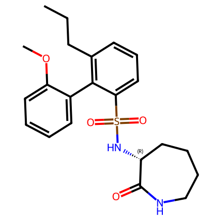 CCCc1cccc(S(=O)(=O)N[C@@H]2CCCCNC2=O)c1-c1ccccc1OC